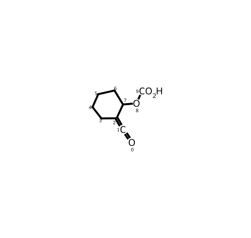 O=C=C1CCCCC1OC(=O)O